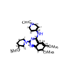 COc1cc2nc(N3CCCC(OC)C3)nc(NC3CCN(C=O)CC3)c2cc1OC